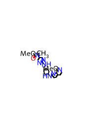 COC(=O)N(C)c1cnc(NC[C@H]2CC[C@H](Nc3ccc4ccnc(OC)c4n3)CC2)nc1